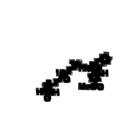 COC(=O)c1ccc2c(c1)[nH]c1nc(Cc3ccccc3)nc(NCCCN(C)CCCNC(=O)CCCC[C@@H]3SCC4NC(=O)NC43)c12